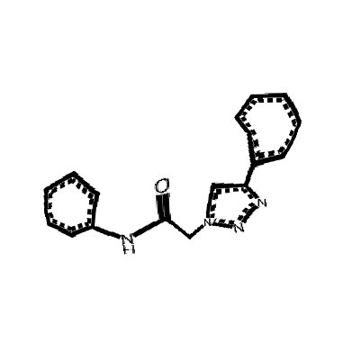 O=C(Cn1cc(-c2ccccc2)nn1)Nc1ccccc1